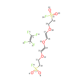 FC(F)=C(F)F.O=S(=O)(F)CCOC=COC=COCCS(=O)(=O)F